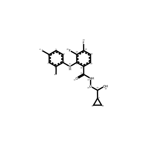 Cc1cc(I)ccc1Nc1c(C(=O)NOC(O)C2CC2)ccc(F)c1F